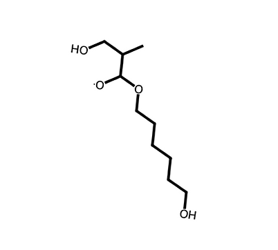 CC(CO)C([O])OCCCCCCO